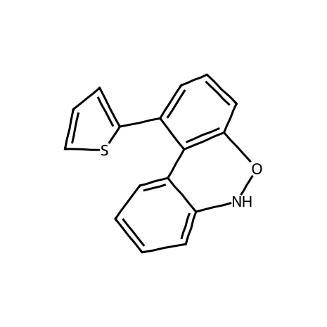 c1csc(-c2cccc3c2-c2ccccc2NO3)c1